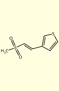 CS(=O)(=O)C=Cc1ccsc1